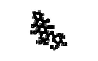 CC[C@H](O)[C@H](C)OC(C)O[C@H]1C[C@](O)(C(C)=O)Cc2c(O)c3c(c(O)c21)C(=O)c1ccccc1C3=O